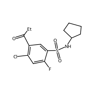 CCC(=O)c1cc(S(=O)(=O)NC2CCCC2)c(F)cc1Cl